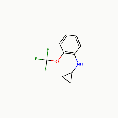 FC(F)(F)Oc1[c]cccc1NC1CC1